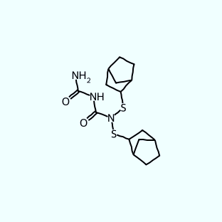 NC(=O)NC(=O)N(SC1CC2CCC1C2)SC1CC2CCC1C2